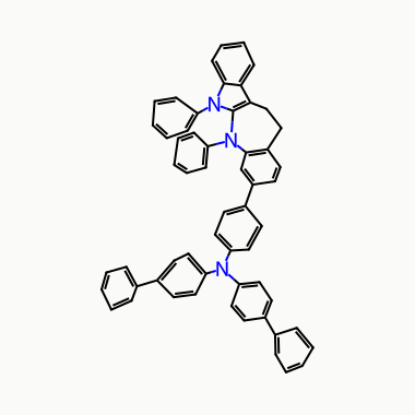 c1ccc(-c2ccc(N(c3ccc(-c4ccccc4)cc3)c3ccc(-c4ccc5c(c4)N(c4ccccc4)c4c(c6ccccc6n4-c4ccccc4)CC5)cc3)cc2)cc1